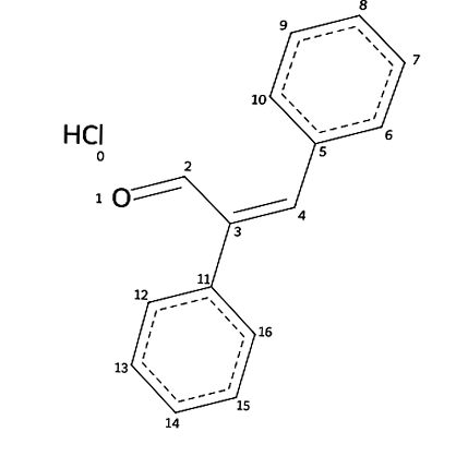 Cl.O=CC(=Cc1ccccc1)c1ccccc1